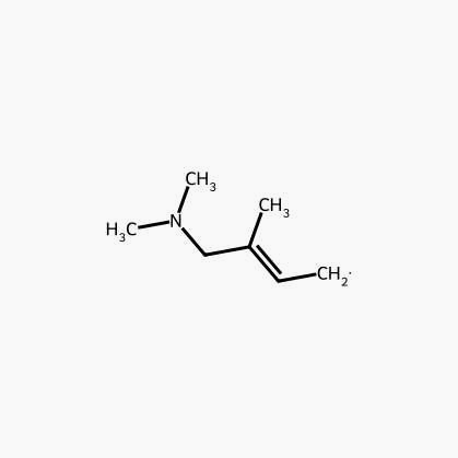 [CH2]/C=C(\C)CN(C)C